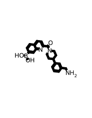 NCc1cccc(C2CCN(C(=O)c3ccc4ccc(B(O)O)cc4n3)CC2)c1